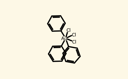 [Cl][Au]([Cl])([Cl])([c]1ccccc1)([c]1ccccc1)[c]1ccccc1